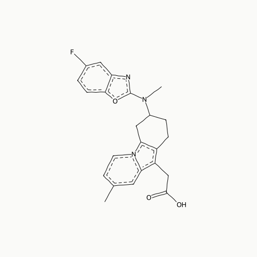 Cc1ccn2c3c(c(CC(=O)O)c2c1)CCC(N(C)c1nc2cc(F)ccc2o1)C3